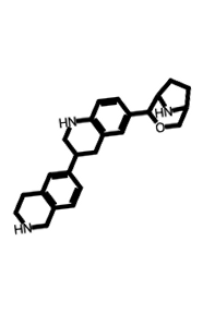 c1cc2c(cc1C1CNc3ccc(C4OCC5CCC4N5)cc3C1)CCNC2